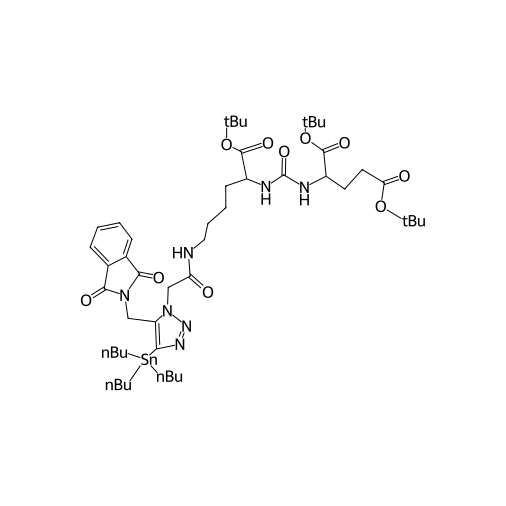 CCC[CH2][Sn]([CH2]CCC)([CH2]CCC)[c]1nnn(CC(=O)NCCCCC(NC(=O)NC(CCC(=O)OC(C)(C)C)C(=O)OC(C)(C)C)C(=O)OC(C)(C)C)c1CN1C(=O)c2ccccc2C1=O